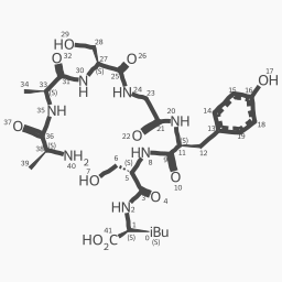 CC[C@H](C)[C@H](NC(=O)[C@H](CO)NC(=O)[C@H](Cc1ccc(O)cc1)NC(=O)CNC(=O)[C@H](CO)NC(=O)[C@H](C)NC(=O)[C@H](C)N)C(=O)O